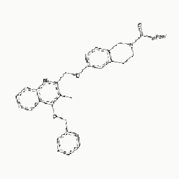 CCCCCC(=O)N1CCc2cc(OCc3nc4ccccc4c(OCc4ccccc4)c3C)ccc2C1